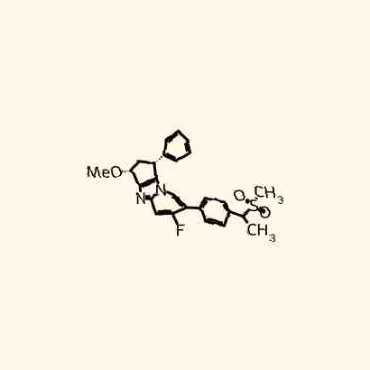 CO[C@@H]1C[C@H](c2ccccc2)c2c1nc1cc(F)c(-c3ccc(C(C)S(C)(=O)=O)cc3)cn21